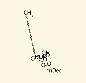 CC#CC#CC#CC#CC#CC#CC(=O)OC[C@H](OC(=O)CCCCCCCCCCC)OP(=O)(O)O